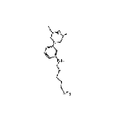 CC1CN(c2cccc(NCCCCCN)c2)CC(C)O1